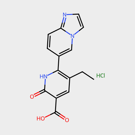 CCc1cc(C(=O)O)c(=O)[nH]c1-c1ccc2nccn2c1.Cl